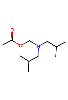 CC(=O)OCN(CC(C)C)CC(C)C